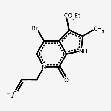 C=CCn1cc(Br)c2c(C(=O)OCC)c(C)[nH]c2c1=O